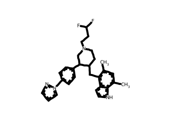 Cc1cc(C)c2[nH]ccc2c1CC1CCN(CCC(F)F)CC1c1ccc(-n2cccn2)cc1